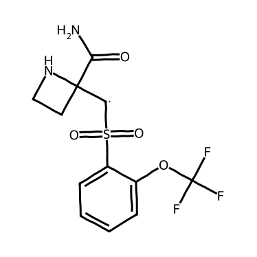 NC(=O)C1([CH]S(=O)(=O)c2ccccc2OC(F)(F)F)CCN1